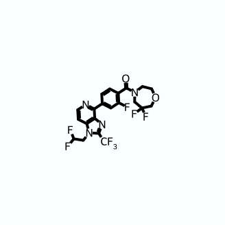 O=C(c1ccc(-c2nccc3c2nc(C(F)(F)F)n3CC(F)F)cc1F)N1CCOCC(F)(F)C1